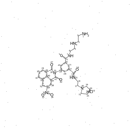 Cl.NCCNCCNC(=O)c1cc(C(=O)NCCN2CCCC2)cc(N2C(=O)c3cccc4cc([N+](=O)[O-])cc(c34)C2=O)c1